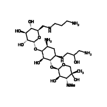 CN[C@@H]1[C@@H](O)[C@@H](O[C@H]2[C@H](NCC(O)CN)C[C@H](N)C(O[C@H]3O[C@H](CNCCCN)[C@@H](O)[C@H](O)[C@H]3O)[C@@H]2O)OC[C@]1(C)O